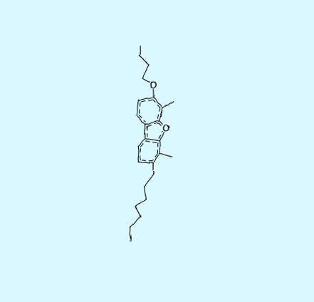 CCCCCCCc1ccc2c(oc3c(C)c(OCCCC)ccc32)c1C